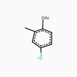 CC(=O)Oc1ccc([18F])cc1C